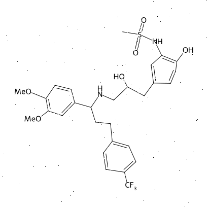 COc1ccc(C(CCc2ccc(C(F)(F)F)cc2)NCC(O)Cc2ccc(O)c(NS(C)(=O)=O)c2)cc1OC